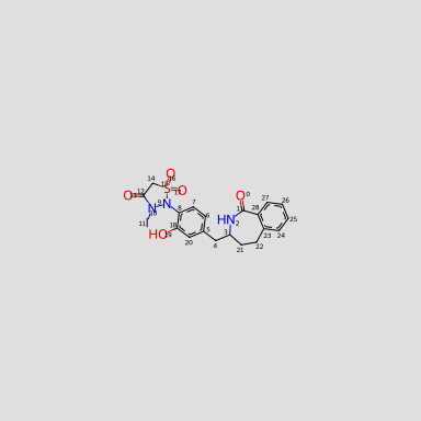 O=C1NC(Cc2ccc(N3N(I)C(=O)CS3(=O)=O)c(O)c2)CCc2ccccc21